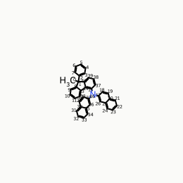 CC1(c2ccccc2)c2ccccc2-c2c(N(c3ccc4ccccc4c3)c3ccc4ccccc4c3)cccc21